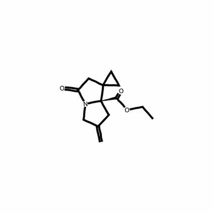 C=C1CN2C(=O)CC3(CC3)[C@]2(C(=O)OCC)C1